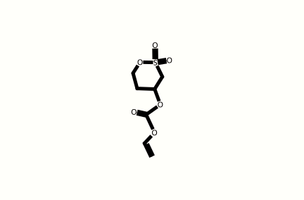 C=COC(=O)OC1CCOS(=O)(=O)C1